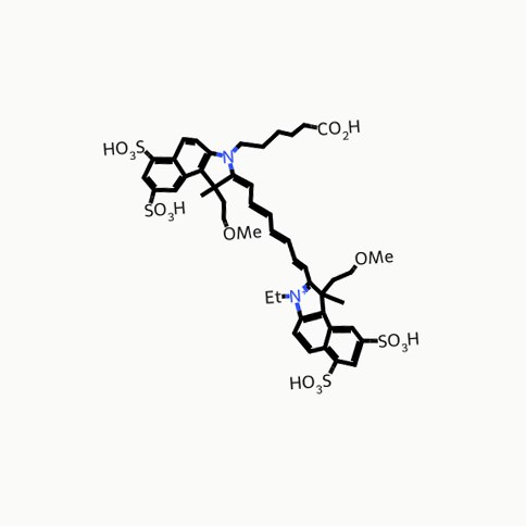 CC[N+]1=C(/C=C/C=C/C=C/C=C2/N(CCCCCC(=O)O)c3ccc4c(S(=O)(=O)O)cc(S(=O)(=O)O)cc4c3C2(C)CCOC)C(C)(CCOC)c2c1ccc1c(S(=O)(=O)O)cc(S(=O)(=O)O)cc21